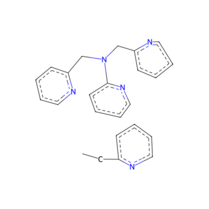 CCc1ccccn1.c1ccc(CN(Cc2ccccn2)c2ccccn2)nc1